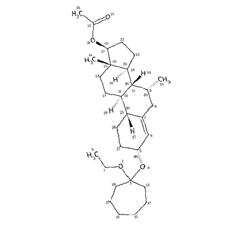 CCOC1(O[C@H]2C=C3C[C@@H](C)[C@@H]4[C@H](CC[C@]5(C)[C@@H](OC(C)=O)CC[C@@H]45)[C@H]3CC2)CCCCCC1